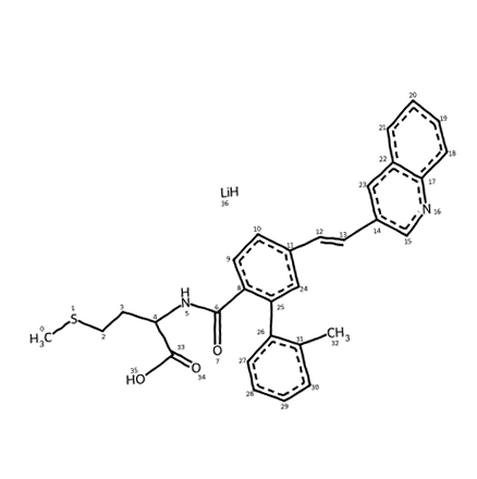 CSCCC(NC(=O)c1ccc(C=Cc2cnc3ccccc3c2)cc1-c1ccccc1C)C(=O)O.[LiH]